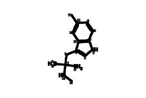 BC(B)(Cc1c[nH]c2ccc(C)cc12)NC